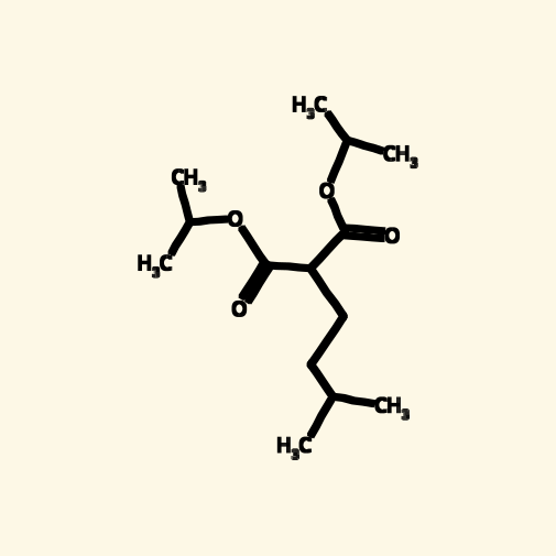 CC(C)CCC(C(=O)OC(C)C)C(=O)OC(C)C